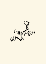 O=[PH](O)NCO